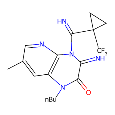 CCCCn1c(=O)c(=N)n(C(=N)C2(C(F)(F)F)CC2)c2ncc(C)cc21